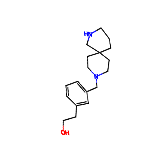 OCCc1cccc(CN2CCC3(CCCNC3)CC2)c1